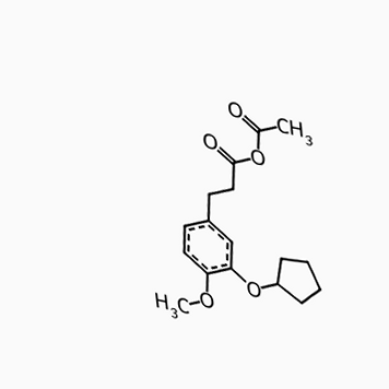 COc1ccc(CCC(=O)OC(C)=O)cc1OC1CCCC1